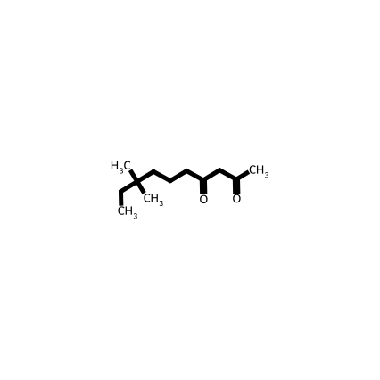 CCC(C)(C)CCCC(=O)CC(C)=O